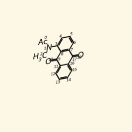 CC(=O)N(C)c1cccc2c1C(=O)c1ccccc1C2=O